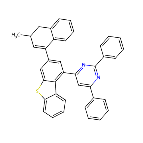 CC1C=C(c2cc(-c3cc(-c4ccccc4)nc(-c4ccccc4)n3)c3c(c2)sc2ccccc23)c2ccccc2C1